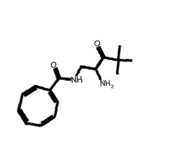 CC(C)(C)C(=O)C(N)CNC(=O)C1=C/C=C\C=C/C=C\1